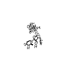 C=C1NC(=O)C=CN1[C@@H]1O[C@@](COP(=O)(S)OP(=O)(O)OP(=O)(O)O)(OC)[C@@H](N=[N+]=[N-])[C@H]1O